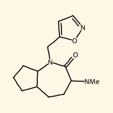 CNC1CCC2CCCC2N(Cc2ccno2)C1=O